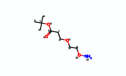 CC(C)(C)OC(=O)CCOCCON